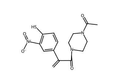 C=C(C(=O)N1CCN(C(C)=O)CC1)c1ccc(S)c([N+](=O)[O-])c1